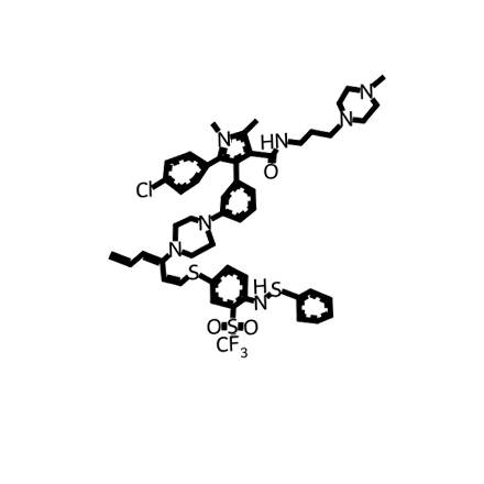 C=C/C=C(\C=C/Sc1ccc(NSc2ccccc2)c(S(=O)(=O)C(F)(F)F)c1)N1CCN(c2cccc(-c3c(C(=O)NCCCN4CCN(C)CC4)c(C)n(C)c3-c3ccc(Cl)cc3)c2)CC1